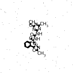 COc1nc(C)nc(NC(=O)NS(=O)(=O)c2ccccc2-c2nnc(C)o2)n1